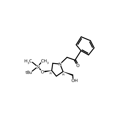 CC(C)(C)[Si](C)(C)O[C@@H]1C[C@H](CO)N(CC(=O)c2ccccc2)C1